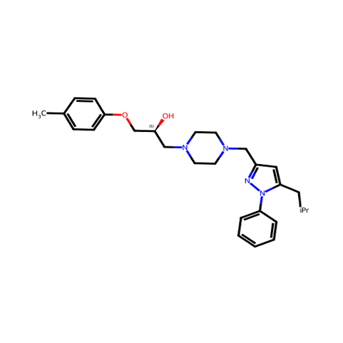 Cc1ccc(OC[C@@H](O)CN2CCN(Cc3cc(CC(C)C)n(-c4ccccc4)n3)CC2)cc1